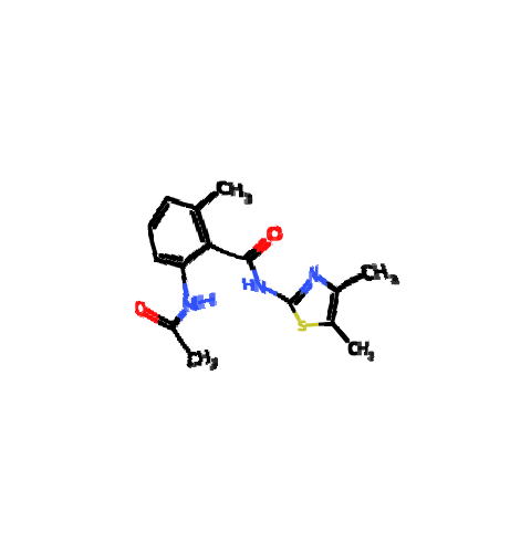 CC(=O)Nc1cccc(C)c1C(=O)Nc1nc(C)c(C)s1